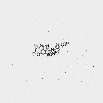 CC(C)c1cc(OC(F)F)cc(C(C)N)c1NC(=O)N=S(N)(=O)c1cnc(C(C)(C)O)s1